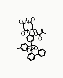 C=C(C)C(=O)Oc1cc(C(C)(c2ccc(C)cc2)P2(=O)Oc3ccccc3-c3ccccc32)ccc1N1C(=O)CC(=O)N(C)C(=O)CC1=O